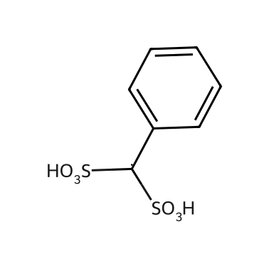 O=S(=O)(O)[C](c1ccccc1)S(=O)(=O)O